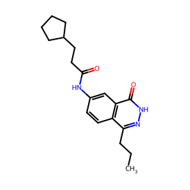 CCCc1n[nH]c(=O)c2cc(NC(=O)CCC3CCCC3)ccc12